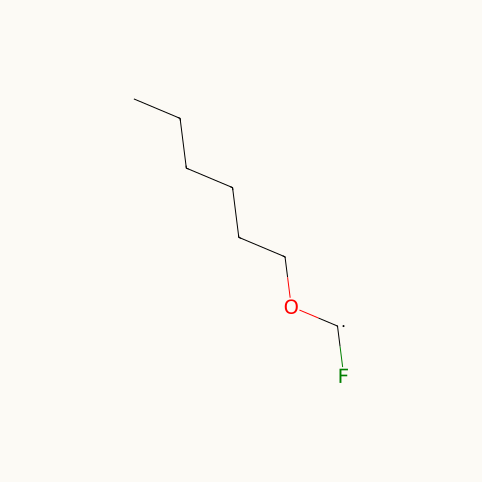 CCCCCCO[CH]F